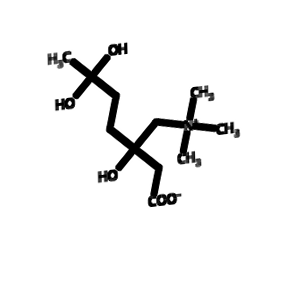 CC(O)(O)CCC(O)(CC(=O)[O-])C[N+](C)(C)C